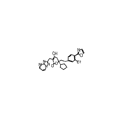 CCc1cc(CCC2(C3CCCC3)CC(O)=C(Cc3nc4ncccn4n3)C(=O)O2)ccc1-c1ncco1